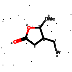 COC1OC(=O)CC1CC(C)C